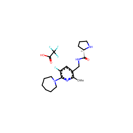 COc1nc(N2CCCCCC2)c(F)cc1CNC(=O)[C@@H]1CCCN1.O=C(O)C(F)(F)F